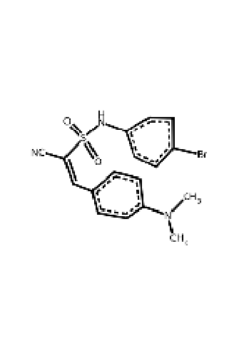 CN(C)c1ccc(C=C(C#N)S(=O)(=O)Nc2ccc(Br)cc2)cc1